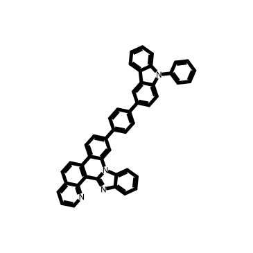 c1ccc(-n2c3ccccc3c3cc(-c4ccc(-c5ccc6c7ccc8cccnc8c7c7nc8ccccc8n7c6c5)cc4)ccc32)cc1